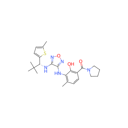 Cc1ccc([C@H](Nc2nonc2Nc2c(C)ccc(C(=O)N3CCCC3)c2O)C(C)(C)C)s1